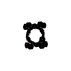 c1ccc2c(-n3c4ccc(cc4)c4ccc(cc4)n(-c4cccc5ccccc45)c4cccc(c4)n(-c4cccc5ccccc45)c4ccc(cc4)c4ccc(cc4)n(-c4cccc5ccccc45)c4cccc3c4)cccc2c1